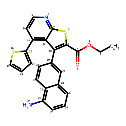 CCOC(=O)c1sc2nccc(-c3cccs3)c2c1-c1ccc2c(N)cccc2c1